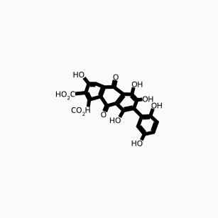 O=C(O)c1c(O)cc2c(c1C(=O)O)C(=O)c1c(O)c(-c3cc(O)ccc3O)c(O)c(O)c1C2=O